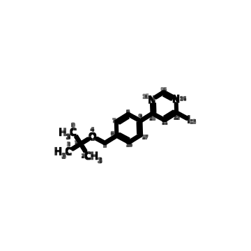 CC(C)(C)OCc1ccc(-c2cc(I)ncn2)cc1